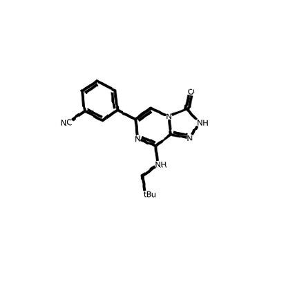 CC(C)(C)CNc1nc(-c2cccc(C#N)c2)cn2c(=O)[nH]nc12